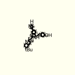 CC(C)(C)[C@H]1CCc2nc3sc(C(=O)N[C@H](CCN4CCC(O)CC4)c4ccc(-c5cn[nH]c5)cc4)nc3cc2C1